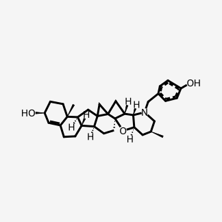 C[C@H]1C[C@H]2O[C@@]34CC[C@H]5[C@@H]6CCC7=C[C@@H](O)CC[C@]7(C)[C@H]6CC56CC63C[C@@H]4[C@@H]2N(Cc2ccc(O)cc2)C1